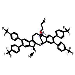 C/C1=C2C(=N/C3=C(CC1)c1cc(-c4ccc(C(F)(F)F)cc4)c(-c4ccc(C(F)(F)F)cc4)cc1/C3=N\C#N)\c1cc(-c3ccc(C(F)(F)F)cc3)c(-c3ccc(C(F)(F)F)cc3)cc1C\2=C/CCC#N